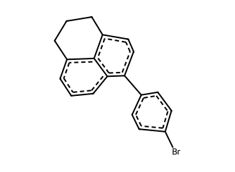 Brc1ccc(-c2ccc3c4c(cccc24)CCC3)cc1